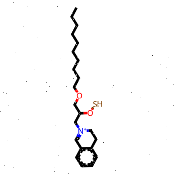 CCCCCCCCCCOCC(C[N+]1=Cc2ccccc2CC1)OS